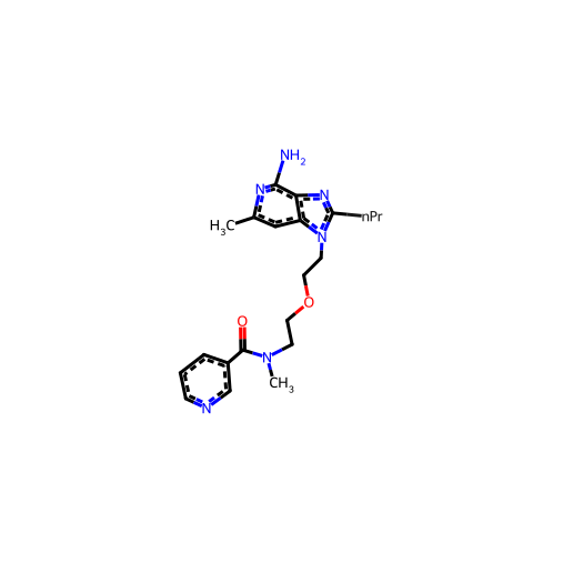 CCCc1nc2c(N)nc(C)cc2n1CCOCCN(C)C(=O)c1cccnc1